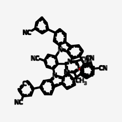 Cc1nc(C)nc(-c2c(-n3c4cc(-c5cccc(C#N)c5)ccc4c4ccc(-c5cccc(C#N)c5)cc43)cc(C#N)cc2-n2c3cc(-c4cccc(C#N)c4)ccc3c3ccc(-c4cccc(C#N)c4)cc32)n1